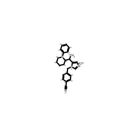 CC(c1cncn1Cc1ccc(C#N)cc1)C1CCCCN1c1ccccc1.Cl